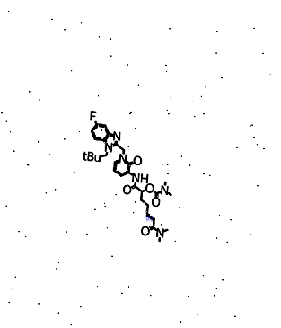 CN(C)C(=O)/C=C/CCC(OC(=O)N(C)C)C(=O)Nc1cccn(Cc2nc3cc(F)ccc3n2CC(C)(C)C)c1=O